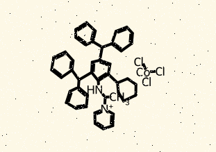 CC(Nc1c(C2CCCCC2)cc(C(c2ccccc2)c2ccccc2)cc1C(c1ccccc1)c1ccccc1)[n+]1ccccc1.[Cl][Co]([Cl])[Cl]